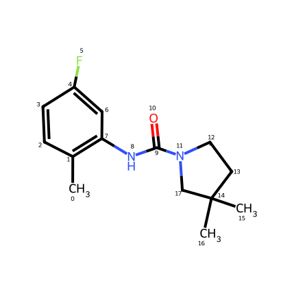 Cc1ccc(F)cc1NC(=O)N1[CH]CC(C)(C)C1